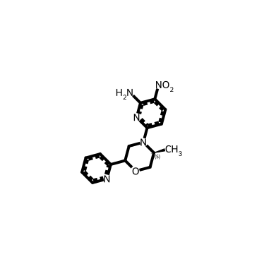 C[C@H]1COC(c2ccccn2)CN1c1ccc([N+](=O)[O-])c(N)n1